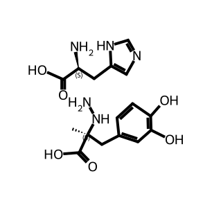 C[C@@](Cc1ccc(O)c(O)c1)(NN)C(=O)O.N[C@@H](Cc1cnc[nH]1)C(=O)O